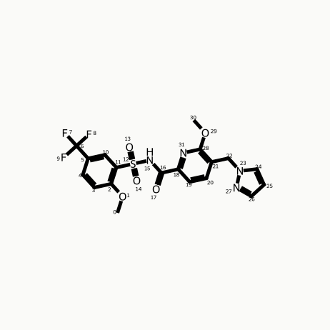 COc1ccc(C(F)(F)F)cc1S(=O)(=O)NC(=O)c1ccc(Cn2cccn2)c(OC)n1